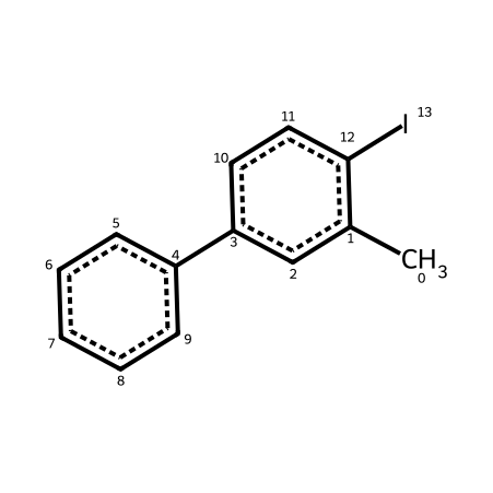 Cc1cc(-c2ccccc2)ccc1I